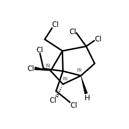 ClCC1(CCl)[C@@H]2CC(Cl)(Cl)C1(CCl)[C@H](Cl)[C@H]2Cl